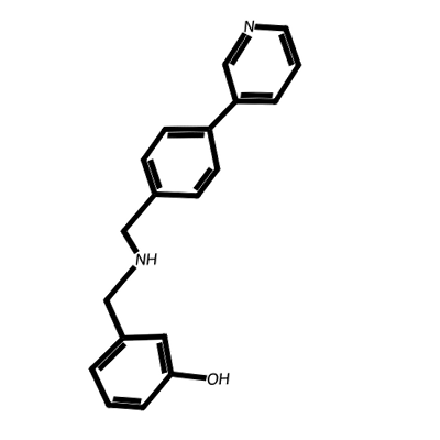 Oc1cccc(CNCc2ccc(-c3cccnc3)cc2)c1